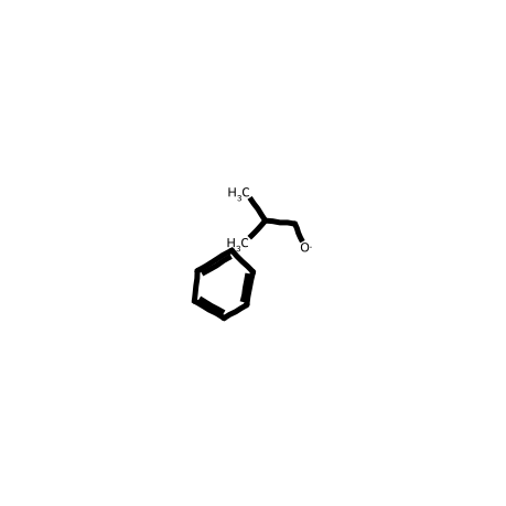 CC(C)C[O].c1ccccc1